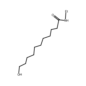 CCNC(=O)CCCCCCCCCCO